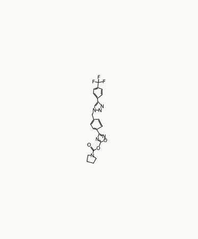 O=C(Oc1nc(-c2ccc(Cn3cc(-c4ccc(C(F)(F)F)cc4)nn3)cc2)no1)N1CCCC1